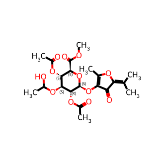 COC(=O)[C@H]1O[C@@H](OC2=C(C)OC(=C(C)C)C2=O)[C@H](OC(C)=O)[C@@H](OC(C)O)[C@@H]1OC(C)=O